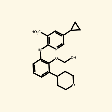 O=C(O)c1cc(C2CC2)cnc1Nc1cccc(C2CCOCC2)c1OCO